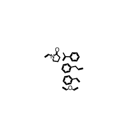 C=C(C)c1ccccc1.C=CCc1ccccc1.C=CN1CCCC1=O.C=COC=C.C=Cc1ccccc1